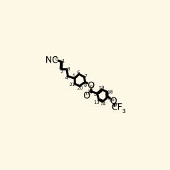 N#CC=CCCC1CCC(OC(=O)c2ccc(OC(F)(F)F)cc2)CC1